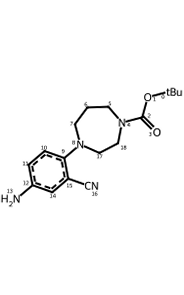 CC(C)(C)OC(=O)N1CCCN(c2ccc(N)cc2C#N)CC1